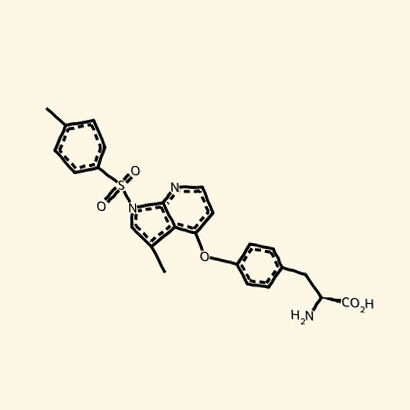 Cc1ccc(S(=O)(=O)n2cc(C)c3c(Oc4ccc(C[C@H](N)C(=O)O)cc4)ccnc32)cc1